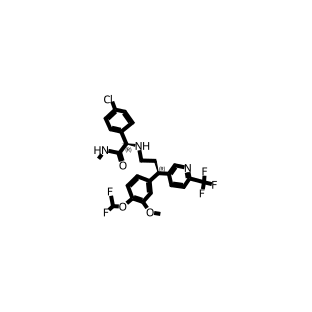 CNC(=O)[C@H](NCC[C@@H](c1ccc(C(F)(F)F)nc1)c1ccc(OC(F)F)c(OC)c1)c1ccc(Cl)cc1